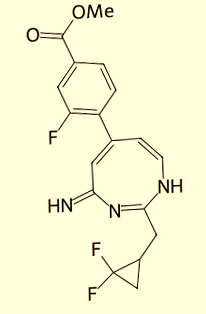 COC(=O)c1ccc(C2=C/C(=N)/N=C(/CC3CC3(F)F)N/C=C\2)c(F)c1